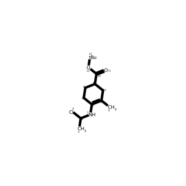 CC1=C(NC(C)Cl)CCC(C(=O)OC(C)(C)C)C1